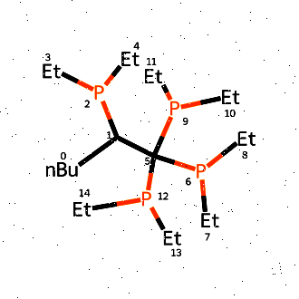 CCCCC(P(CC)CC)C(P(CC)CC)(P(CC)CC)P(CC)CC